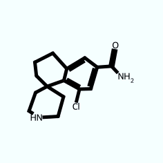 NC(=O)c1cc(Cl)c2c(c1)CCCC21CCNCC1